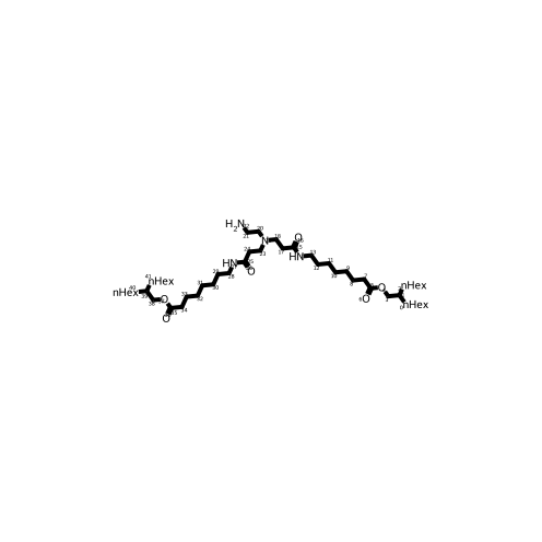 CCCCCCC(CCCCCC)COC(=O)CCCCCCCNC(=O)CCN(CCN)CCC(=O)NCCCCCCCC(=O)OCC(CCCCCC)CCCCCC